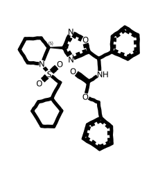 O=C(NC(c1ccccc1)c1nc([C@@H]2CCCCN2S(=O)(=O)CC2CCCCC2)no1)OCc1ccccc1